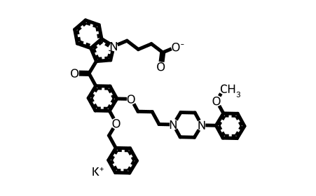 COc1ccccc1N1CCN(CCCOc2cc(C(=O)c3cn(CCCC(=O)[O-])c4ccccc34)ccc2OCc2ccccc2)CC1.[K+]